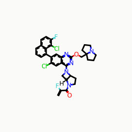 C=C(F)C(=O)N1CCC2[C@H]1CN2c1nc(OCC23CCCN2CCC3)nc2cc(-c3cccc4ccc(F)c(Cl)c34)c(Cl)cc12